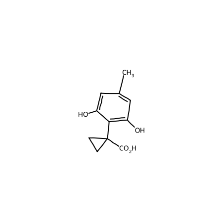 Cc1cc(O)c(C2(C(=O)O)CC2)c(O)c1